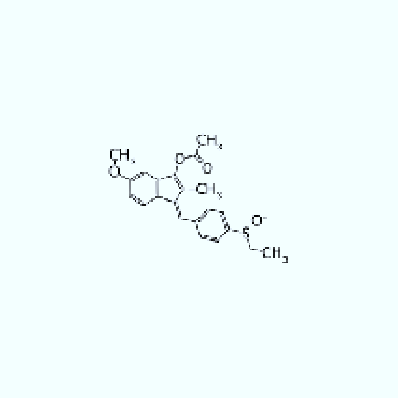 CC[S+]([O-])c1ccc(C=C2C(C)=C(OC(C)=O)c3cc(OC)ccc32)cc1